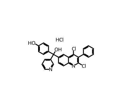 Cl.Oc1ccc(C(O)(c2cccnc2)c2ccc3nc(Cl)c(-c4ccccc4)c(Cl)c3c2)cc1